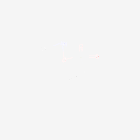 CCNOS(=O)(=O)c1ccccc1C